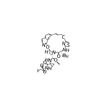 C=C[C@@H]1C[C@]1(NC(=O)[C@@H]1C[C@@H]2CN1C(=O)[C@H]([C@@H](C)CC)Nc1nc(cs1)CC/C=C/c1ccc3ccnc(c3c1)O2)C(=O)NS(=O)(=O)C1CC1